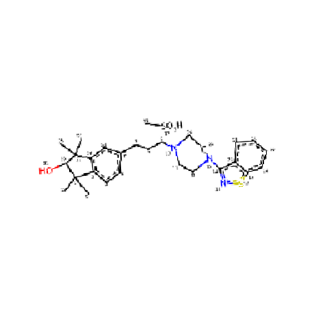 CC1(C)c2ccc(CCCN3CCN(c4nsc5ccccc45)CC3)cc2C(C)(C)C1O.CS(=O)(=O)O